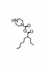 CCCCCC(CCC)C(=O)OC(=O)N1CCNCC1